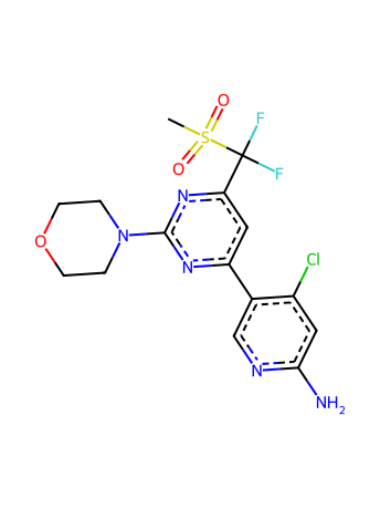 CS(=O)(=O)C(F)(F)c1cc(-c2cnc(N)cc2Cl)nc(N2CCOCC2)n1